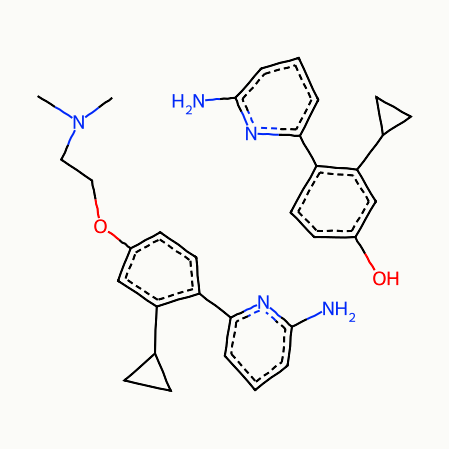 CN(C)CCOc1ccc(-c2cccc(N)n2)c(C2CC2)c1.Nc1cccc(-c2ccc(O)cc2C2CC2)n1